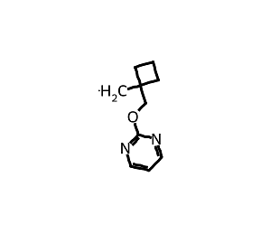 [CH2]C1(COc2ncccn2)CCC1